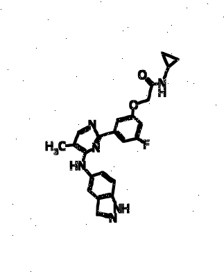 Cc1cnc(-c2cc(F)cc(OCC(=O)NC3CC3)c2)nc1Nc1ccc2[nH]ncc2c1